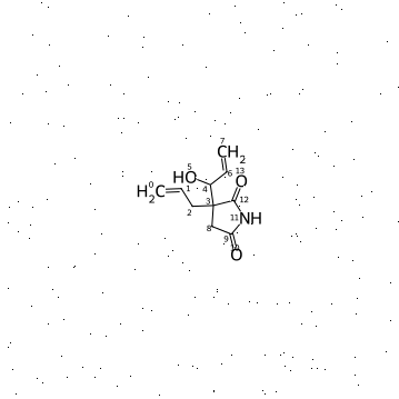 C=CCC1(C(O)C=C)CC(=O)NC1=O